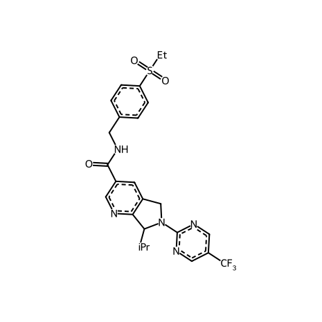 CCS(=O)(=O)c1ccc(CNC(=O)c2cnc3c(c2)CN(c2ncc(C(F)(F)F)cn2)C3C(C)C)cc1